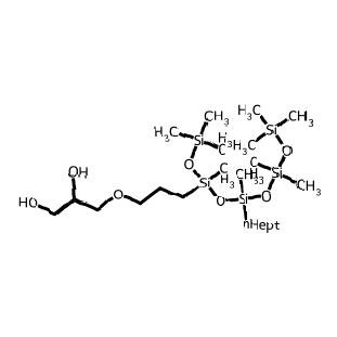 CCCCCCC[Si](C)(O[Si](C)(C)O[Si](C)(C)C)O[Si](C)(CCCOCC(O)CO)O[Si](C)(C)C